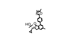 Cc1cc2c(c(-c3ccc(-c4nnc(C)o4)cc3)c1)C(=O)N([C@H](C1CC1)C(C)(C)O)C2